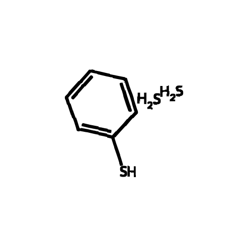 S.S.Sc1ccccc1